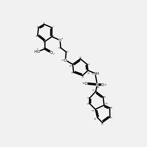 O=C(O)c1ccccc1OCCOc1ccc(NS(=O)(=O)c2ccc3ccccc3c2)cc1